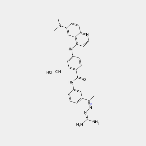 C/C(=N/N=C(N)N)c1cccc(NC(=O)c2ccc(Nc3ccnc4ccc(N(C)C)cc34)cc2)c1.Cl.Cl